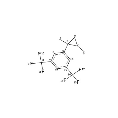 CC1CC1(C)c1cc(C(F)(F)F)cc(C(F)(F)F)c1